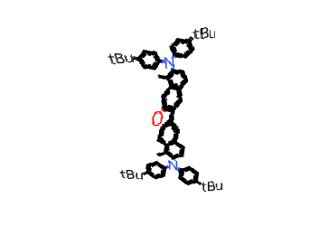 Cc1c(N(c2ccc(C(C)(C)C)cc2)c2ccc(C(C)(C)C)cc2)ccc2cc3c(cc12)oc1cc2c(C)c(N(c4ccc(C(C)(C)C)cc4)c4ccc(C(C)(C)C)cc4)ccc2cc13